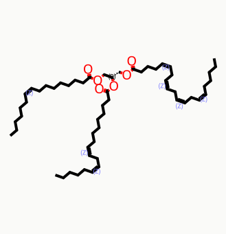 CCCCC/C=C\C/C=C\C/C=C\C/C=C\CCCC(=O)OC[C@@H](COC(=O)CCCCCCC/C=C\CCCCCC)OC(=O)CCCCCCC/C=C\C/C=C\CCCCC